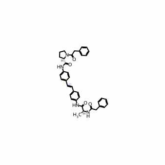 C[C@H](NC(=O)Cc1ccccc1)C(=O)Nc1ccc(/C=C/c2ccc(NC(=O)[C@@H]3CCCN3C(=O)Cc3ccccc3)cc2)cc1